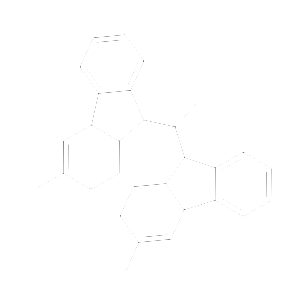 CC1=CC2c3ccccc3C(C(C)C3c4ccccc4C4C=C(C)CCC43)C2CC1